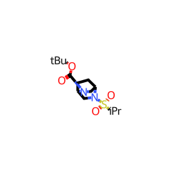 CC(C)S(=O)(=O)N1CC2CCC1CN2C(=O)OC(C)(C)C